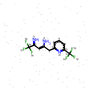 N=C(/C=C(\N)Cc1cccc(C(F)(F)F)n1)C(F)(F)F